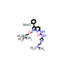 COc1ccccc1-c1cn(COCC[Si](C)(C)C)c2nc(NC(=O)NC3CN(CCN(C)C)C3)ccc12